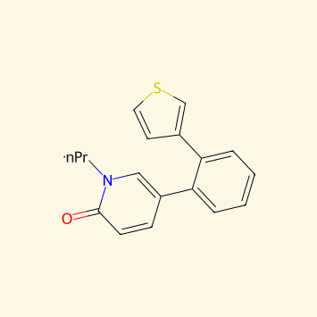 CC[CH]n1cc(-c2ccccc2-c2ccsc2)ccc1=O